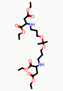 CCOC(=O)CC(NCCCOC(C)(C)OCCCNC(CC(=O)OCC)C(=O)OCC)C(=O)OCC